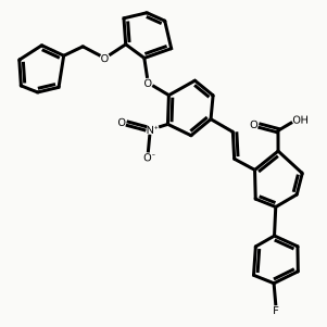 O=C(O)c1ccc(-c2ccc(F)cc2)cc1C=Cc1ccc(Oc2ccccc2OCc2ccccc2)c([N+](=O)[O-])c1